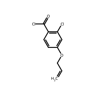 C=CCOc1ccc(C(=O)Cl)c(Cl)c1